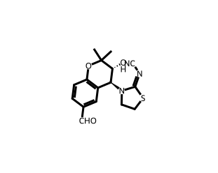 CC1(C)Oc2ccc(C=O)cc2[C@H](N2CCS/C2=N/C#N)[C@H]1O